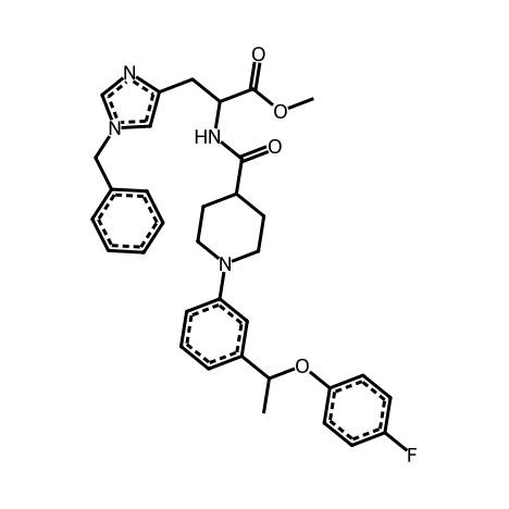 COC(=O)C(Cc1cn(Cc2ccccc2)cn1)NC(=O)C1CCN(c2cccc(C(C)Oc3ccc(F)cc3)c2)CC1